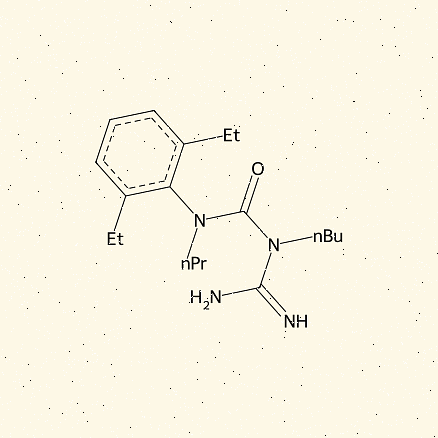 CCCCN(C(=N)N)C(=O)N(CCC)c1c(CC)cccc1CC